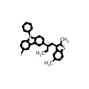 C=C/C(=C\c1c(C)sc2ccc(C)cc12)c1ccc2c(c1)c1cc(I)ccc1n2-c1ccccc1